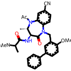 CNC(C)C(=O)N[C@@H]1C(=O)N(Cc2cc(-c3ccccc3)ccc2OC)c2ccc(C#N)cc2N(C(C)=O)[C@H]1C